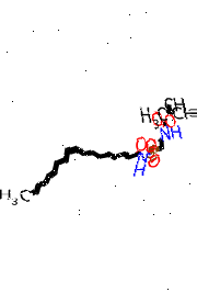 CCCCCCCC/C=C\CCCCCCCC(=O)NS(=O)(=O)CCNC(=O)OC(C)(C)C